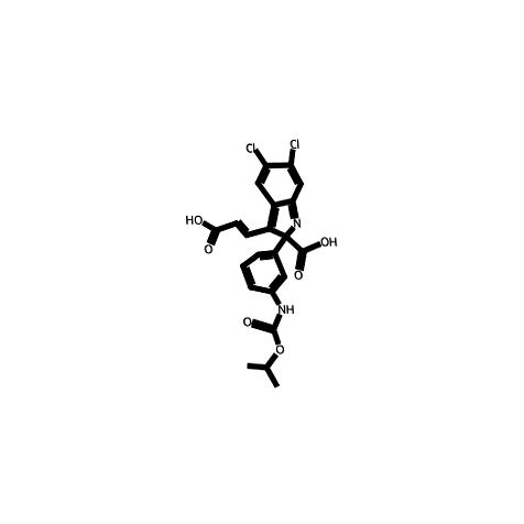 CC(C)OC(=O)Nc1cccc(C2(C(=O)O)N=c3cc(Cl)c(Cl)cc3=C2C=CC(=O)O)c1